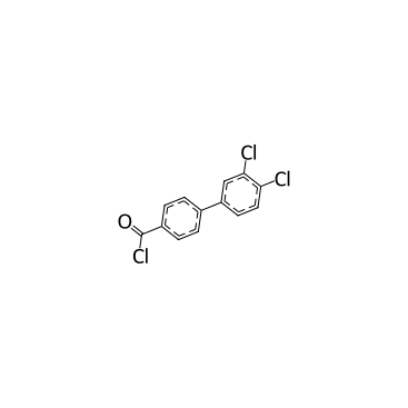 O=C(Cl)c1ccc(-c2ccc(Cl)c(Cl)c2)cc1